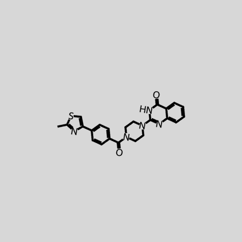 Cc1nc(-c2ccc(C(=O)N3CCN(c4nc5ccccc5c(=O)[nH]4)CC3)cc2)cs1